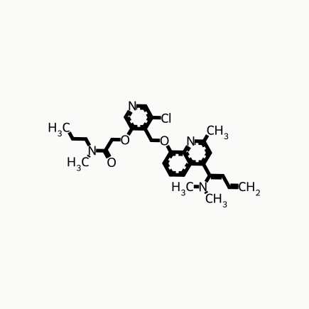 C=C/C=C(/c1cc(C)nc2c(OCc3c(Cl)cncc3OCC(=O)N(C)CCC)cccc12)N(C)C